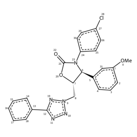 COc1cccc([C@H]2[C@H](Cn3nnc(-c4ccccc4)n3)OC(=O)N2c2ccc(Cl)cc2)c1